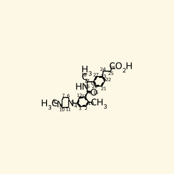 Cc1ccc(N2CCN(C)CC2)cc1C(=O)NC(C)c1cccc(CCC(=O)O)c1